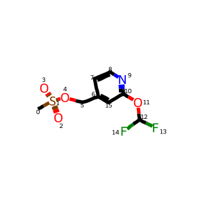 CS(=O)(=O)OCc1ccnc(OC(F)F)c1